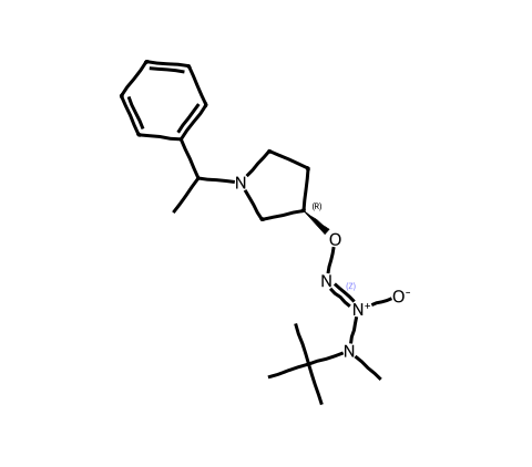 CC(c1ccccc1)N1CC[C@@H](O/N=[N+](\[O-])N(C)C(C)(C)C)C1